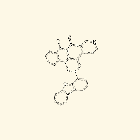 O=c1c2ccccc2c2cc(-c3cccc4c3oc3ccccc34)cc3c4ccncc4c(=O)n1c23